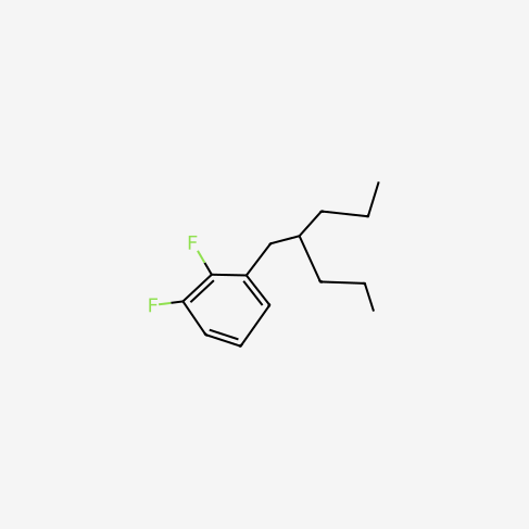 CCCC(CCC)Cc1cccc(F)c1F